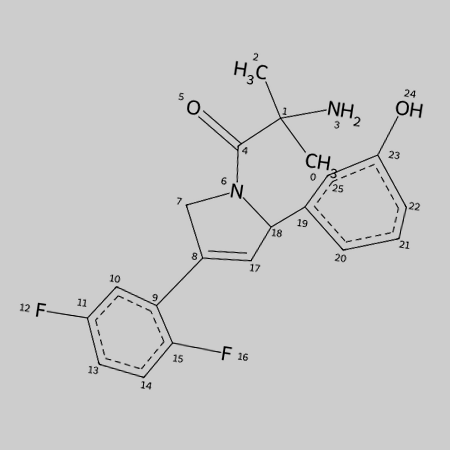 CC(C)(N)C(=O)N1CC(c2cc(F)ccc2F)=CC1c1cccc(O)c1